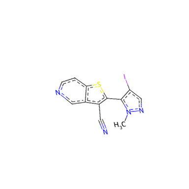 Cn1ncc(I)c1-c1sc2ccncc2c1C#N